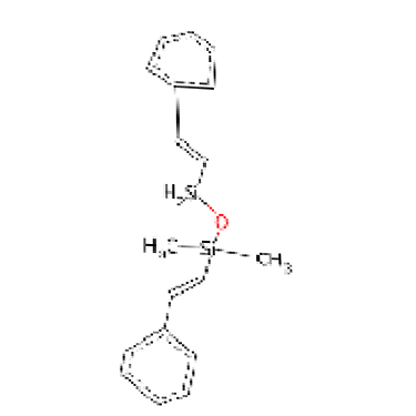 C[Si](C)(C=Cc1ccccc1)O[SiH2]C=Cc1ccccc1